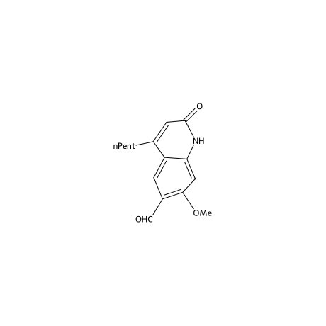 CCCCCc1cc(=O)[nH]c2cc(OC)c(C=O)cc12